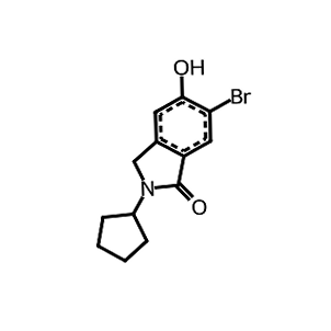 O=C1c2cc(Br)c(O)cc2CN1C1CCCC1